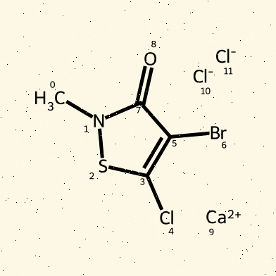 Cn1sc(Cl)c(Br)c1=O.[Ca+2].[Cl-].[Cl-]